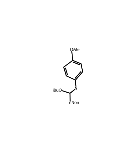 CCCCCCCCCC(OCC(C)C)Sc1ccc(OC)cc1